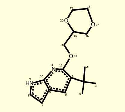 CC(C)(C)c1cc2cc[nH]c2nc1OCC1COCCO1